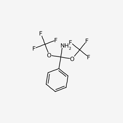 NC(OC(F)(F)F)(OC(F)(F)F)c1ccccc1